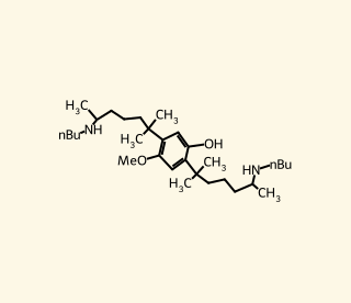 CCCCNC(C)CCCC(C)(C)c1cc(OC)c(C(C)(C)CCCC(C)NCCCC)cc1O